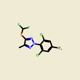 Cc1nn(-c2c(Cl)cc(C(F)(F)F)cc2Cl)nc1SC(F)F